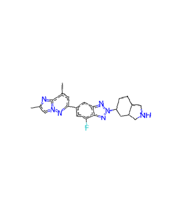 Cc1cn2nc(-c3cc(F)c4nn(C5CCC6CNCC6C5)nc4c3)cc(C)c2n1